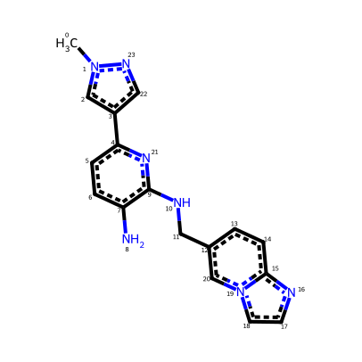 Cn1cc(-c2ccc(N)c(NCc3ccc4nccn4c3)n2)cn1